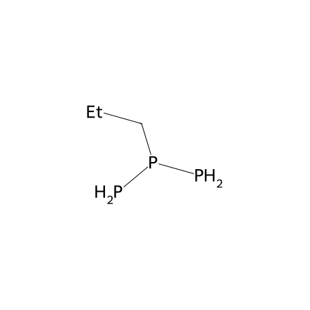 CCCP(P)P